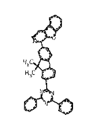 CC1(C)c2cc(-c3nc(-c4ccccc4)nc(-c4ccccc4)n3)ccc2-c2ccc(-c3nccc4c3oc3ccccc34)cc21